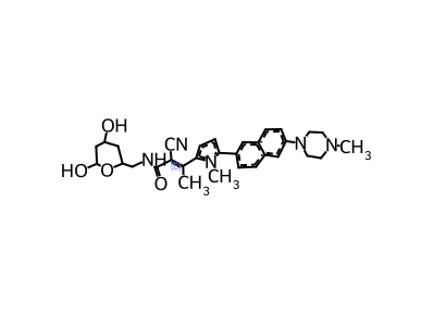 C/C(=C(/C#N)C(=O)NCC1CC(O)CC(O)O1)c1ccc(-c2ccc3cc(N4CCN(C)CC4)ccc3c2)n1C